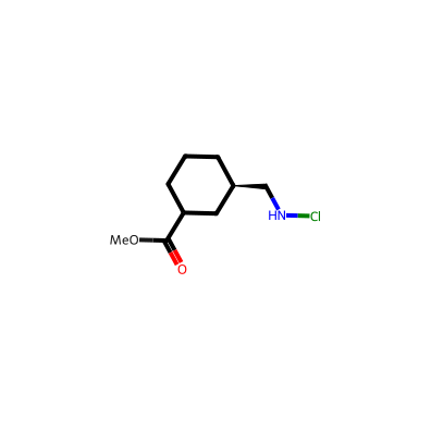 COC(=O)C1CCC[C@@H](CNCl)C1